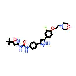 CC(C)(C)c1cc(NC(=O)Nc2ccc(-c3cc(-c4ccc(OCCN5CCOCC5)c(F)c4)[nH]n3)cc2)no1